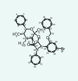 C[C@H]1[C@@H](c2ccccc2)O[C@](C)(O[C@@H]2C(=O)N(c3ccccc3)[C@@H]2c2ccc(Br)cc2OCc2ccccc2)C(=O)N1C